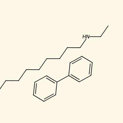 CCCCCCCCCNCC.c1ccc(-c2ccccc2)cc1